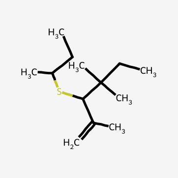 C=C(C)C(SC(C)CC)C(C)(C)CC